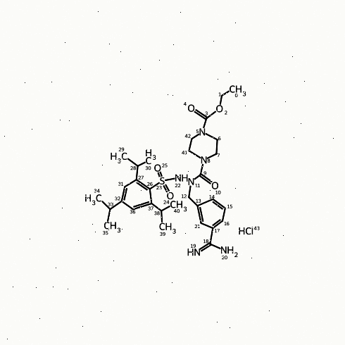 CCOC(=O)N1CCN(C(=O)N(Cc2cccc(C(=N)N)c2)NS(=O)(=O)c2c(C(C)C)cc(C(C)C)cc2C(C)C)CC1.Cl